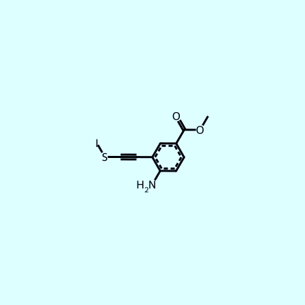 COC(=O)c1ccc(N)c(C#CSI)c1